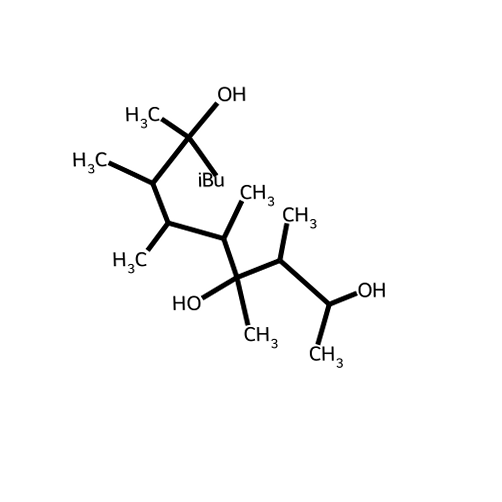 CCC(C)C(C)(O)C(C)C(C)C(C)C(C)(O)C(C)C(C)O